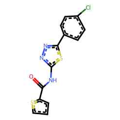 O=C(Nc1nnc(-c2ccc(Cl)cc2)s1)c1cccs1